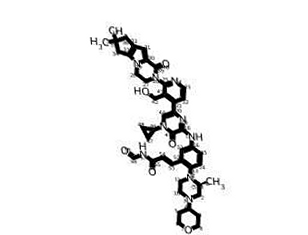 C[C@H]1CN(C2CCOCC2)CCN1c1ccc(Nc2nc(-c3ccnc(N4CCn5c(cc6c5CC(C)(C)C6)C4=O)c3CO)cn(C3CC3)c2=O)cc1C=CC(=O)NC=O